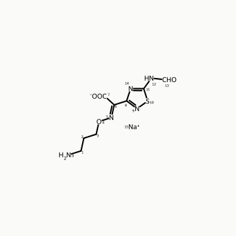 NCCCON=C(C(=O)[O-])c1nsc(NC=O)n1.[Na+]